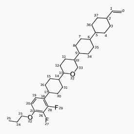 C=CC1CCC(C2CCC(C3CCC(C4CCC(c5ccc(OCCC)c(F)c5F)CC4)OC3)CC2)CC1